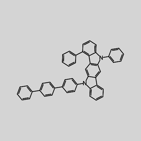 c1ccc(-c2ccc(-c3ccc(-n4c5ccccc5c5cc6c(cc54)c4c(-c5ccccc5)cccc4n6-c4ccccc4)cc3)cc2)cc1